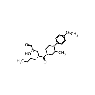 CCCC[C@H](CN(O)C=O)C(=O)N1CCN(c2ccc(OC)cc2)C(C)C1